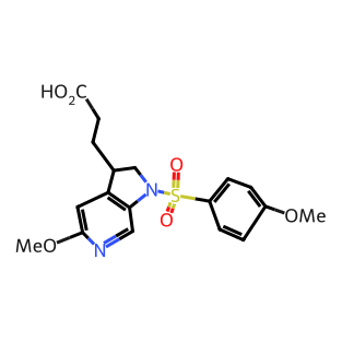 COc1ccc(S(=O)(=O)N2CC(CCC(=O)O)c3cc(OC)ncc32)cc1